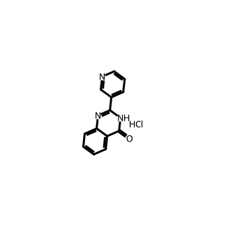 Cl.O=c1[nH]c(-c2cccnc2)nc2ccccc12